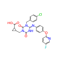 O=C(O)C1CC1Cn1c(=O)[nH]/c(=N\c2ccc(Oc3ccc(F)cn3)cc2)n(Cc2ccc(Cl)cc2)c1=O